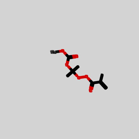 C=C(C)C(=O)OOC(C)(C)OC(=O)OC(C)(C)C